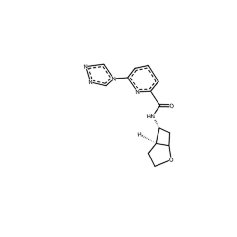 O=C(N[C@@H]1CC2OCC[C@H]21)c1cccc(-n2cnnc2)n1